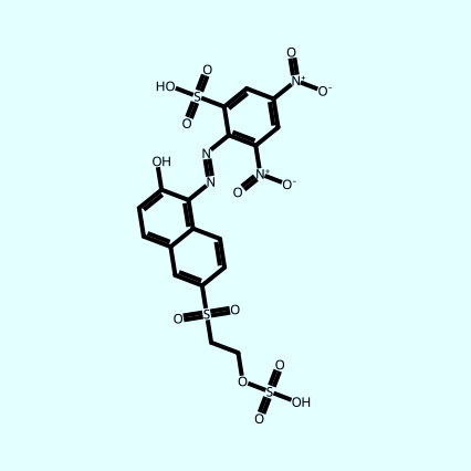 O=[N+]([O-])c1cc([N+](=O)[O-])c(/N=N/c2c(O)ccc3cc(S(=O)(=O)CCOS(=O)(=O)O)ccc23)c(S(=O)(=O)O)c1